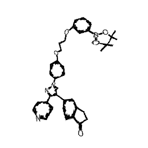 CC1(C)OB(c2cccc(OCCCOc3ccc(-n4cc(-c5ccc6c(c5)CCC6=O)c(-c5ccncc5)n4)cc3)c2)OC1(C)C